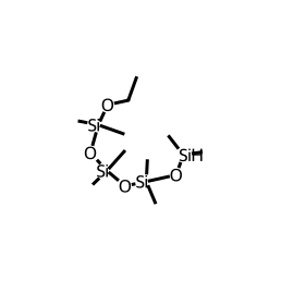 CCO[Si](C)(C)O[Si](C)(C)O[Si](C)(C)O[SiH](C)C